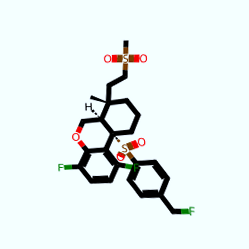 C[C@@]1(CCS(C)(=O)=O)CCC[C@@]2(S(=O)(=O)c3ccc(CF)cc3)c3c(F)ccc(F)c3OC[C@@H]12